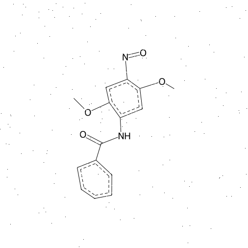 COc1cc(NC(=O)c2ccccc2)c(OC)cc1N=O